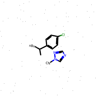 CCCCC(C)c1ccc(Cl)cc1.[C-]#[N+]n1cncn1